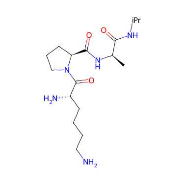 CC(C)NC(=O)[C@@H](C)NC(=O)[C@@H]1CCCN1C(=O)[C@@H](N)CCCCN